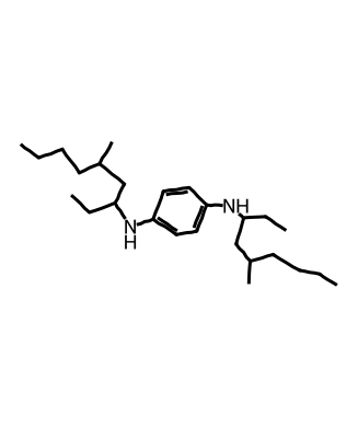 CCCCC(C)CC(CC)Nc1ccc(NC(CC)CC(C)CCCC)cc1